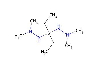 CC[Si](CC)(NN(C)C)NN(C)C